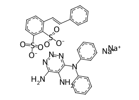 Nc1nnnc(N(c2ccccc2)c2ccccc2)c1N.O=S(=O)([O-])c1cccc(C=Cc2ccccc2)c1S(=O)(=O)[O-].[Na+].[Na+]